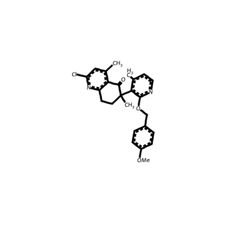 COc1ccc(COc2nccc(C)c2C2(C)CCc3nc(Cl)cc(C)c3C2=O)cc1